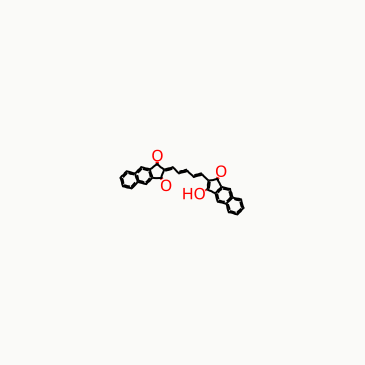 O=C1C(=CC=CC=CC2=C(O)c3cc4ccccc4cc3C2=O)C(=O)c2cc3ccccc3cc21